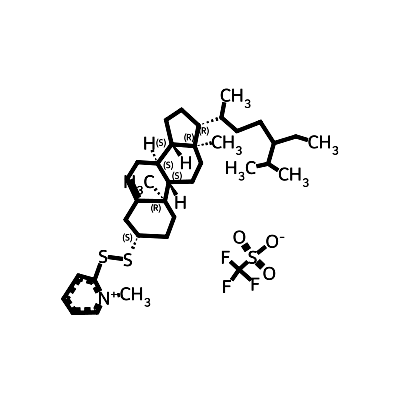 CCC(CCC(C)[C@H]1CC[C@H]2[C@@H]3CC=C4C[C@@H](SSc5cccc[n+]5C)CC[C@]4(C)[C@H]3CC[C@]12C)C(C)C.O=S(=O)([O-])C(F)(F)F